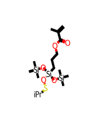 C=C(C)C(=O)OCCC[Si](OSC(C)C)(O[Si](C)(C)C)O[Si](C)(C)C